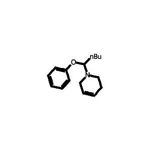 CCCCC(Oc1ccccc1)N1CC=CCC1